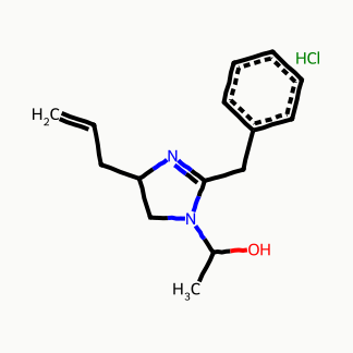 C=CCC1CN(C(C)O)C(Cc2ccccc2)=N1.Cl